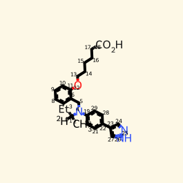 [2H]C(C)(CC)N(Cc1ccccc1OCCCCCC(=O)O)c1ccc(-c2cn[nH]c2)cc1